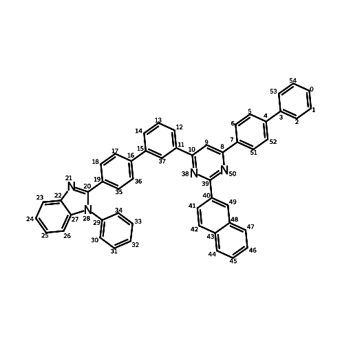 c1ccc(-c2ccc(-c3cc(-c4cccc(-c5ccc(-c6nc7ccccc7n6-c6ccccc6)cc5)c4)nc(-c4ccc5ccccc5c4)n3)cc2)cc1